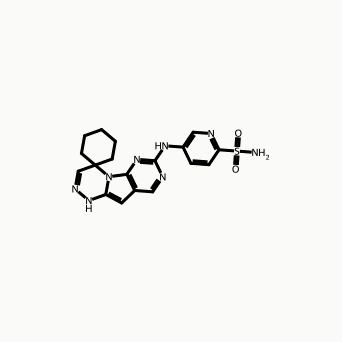 NS(=O)(=O)c1ccc(Nc2ncc3cc4n(c3n2)C2(C=NN4)CCCCC2)cn1